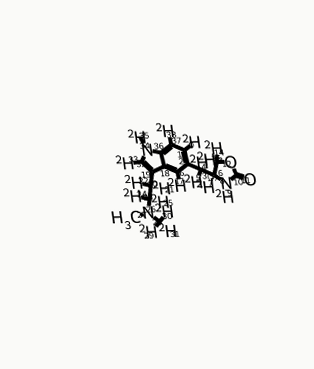 [2H]c1c(C([2H])([2H])[C@]2([2H])N([2H])C(=O)OC2([2H])[2H])c([2H])c2c(C([2H])([2H])C([2H])([2H])N(C)C([2H])([2H])[2H])c([2H])n([2H])c2c1[2H]